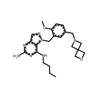 CCCCNc1nc(N)nc2cnn(Cc3cc(CN4CC5(COC5)C4)ccc3OC)c12